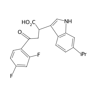 CC(C)c1ccc2c(C(CC(=O)c3ccc(F)cc3F)C(=O)O)c[nH]c2c1